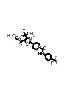 CCOC(=O)c1sc(C2CCN(C(=O)Nc3ccc(C(F)(F)F)cc3)CC2)nc1C(C)(C)C